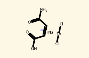 NC(=O)/C=C\C(=O)O.[Cl][Zn][Cl].[NaH]